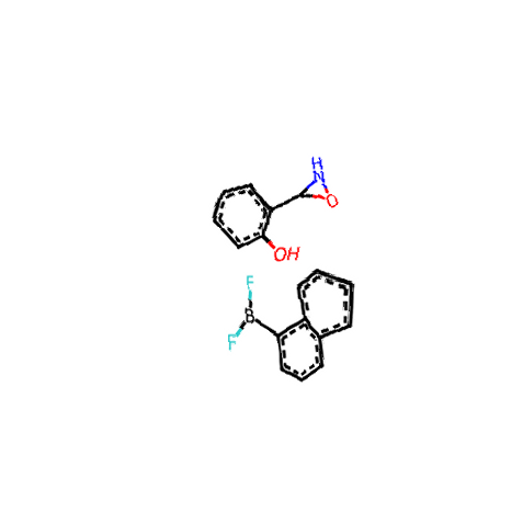 FB(F)c1cccc2ccccc12.Oc1ccccc1C1NO1